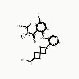 CNC1CC2(C1)CN(c1ncncc1Oc1ccc(F)cc1C(=O)N(C)C(C)C)C2